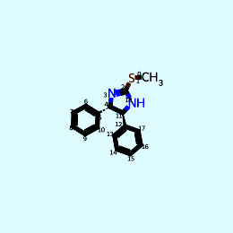 CSC1=N[C@@H](c2ccccc2)[C@H](c2ccccc2)N1